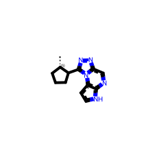 C[C@H]1CCCC1c1nnc2cnc3[nH]ccc3n12